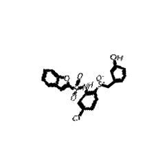 O=S(=O)(Nc1cc(Cl)ccc1[S+]([O-])Cc1cccc(O)c1)c1cc2ccccc2o1